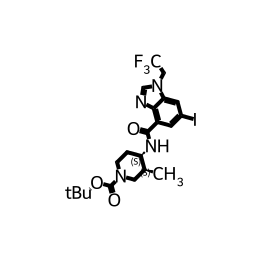 C[C@H]1CN(C(=O)OC(C)(C)C)CC[C@@H]1NC(=O)c1cc(I)cc2c1ncn2CC(F)(F)F